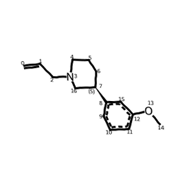 C=CCN1CCC[C@@H](c2cccc(OC)c2)C1